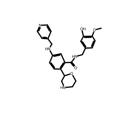 COc1ccc(CNC(=O)c2cc(NCc3ccncc3)ccc2C2CNCCO2)cc1O